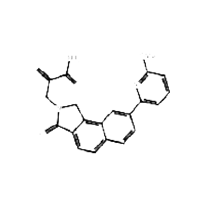 C=C(CN1Cc2c(ccc3ccc(-c4cccc(OC)n4)cc23)C1=O)C(N)=O